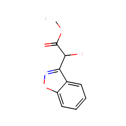 COC(=O)C(O)c1noc2ccccc12